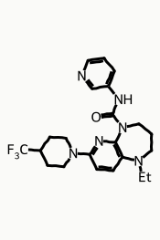 CCN1CCCN(C(=O)Nc2cccnc2)c2nc(N3CCC(C(F)(F)F)CC3)ccc21